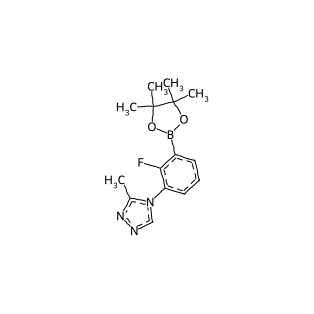 Cc1nncn1-c1cccc(B2OC(C)(C)C(C)(C)O2)c1F